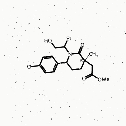 CCC(CO)N1C(=O)[C@@](C)(CC(=O)OC)CCC1c1ccc(Cl)cc1